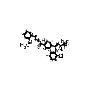 COc1ccccc1CCNC(=O)c1ccc(-c2cc(C(F)(F)F)nn2-c2ccccc2Cl)cc1